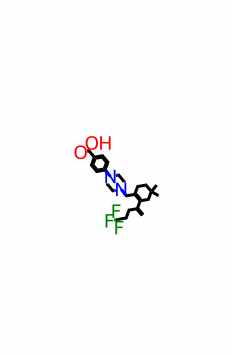 C=C(CCC(F)(F)F)C1=C(CN2CCN(c3ccc(C(=O)O)cc3)CC2)CCC(C)(C)C1